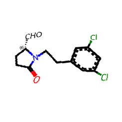 O=C[C@H]1CCC(=O)N1CCc1cc(Cl)cc(Cl)c1